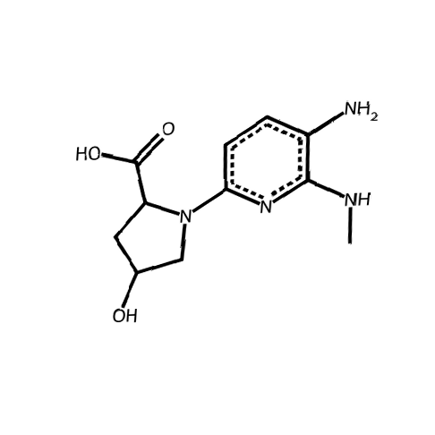 CNc1nc(N2CC(O)CC2C(=O)O)ccc1N